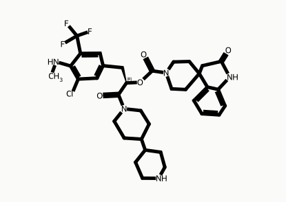 CNc1c(Cl)cc(C[C@@H](OC(=O)N2CCC3(CC2)CC(=O)Nc2ccccc23)C(=O)N2CCC(C3CCNCC3)CC2)cc1C(F)(F)F